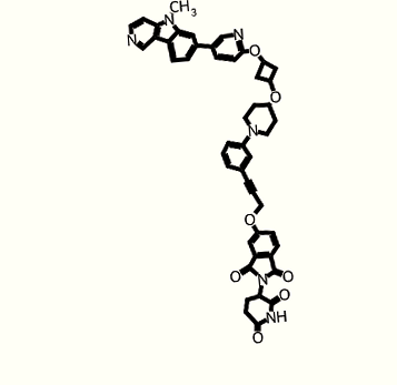 Cn1c2ccncc2c2ccc(-c3ccc(OC4CC(OC5CCN(c6cccc(C#CCOc7ccc8c(c7)C(=O)N(C7CCC(=O)NC7=O)C8=O)c6)CC5)C4)nc3)cc21